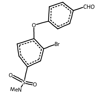 CNS(=O)(=O)c1ccc(Oc2ccc(C=O)cc2)c(Br)c1